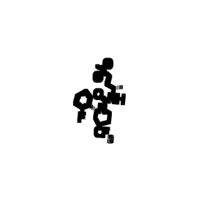 C[C@@H](/C=C/S(C)(=O)=O)NC(=O)N1CC[C@H](C(F)(F)F)C[C@@H]1c1ccccc1F